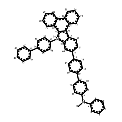 CN(c1ccccc1)c1ccc(-c2ccc(-c3ccc4c5c6ccccc6c6ccccc6c5n(-c5ccc(-c6ccccc6)cc5)c4c3)cc2)cc1